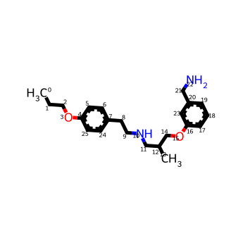 CCCOc1ccc(CCNCC(C)COc2cccc(CN)c2)cc1